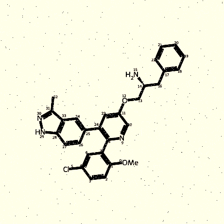 COc1ccc(Cl)cc1-c1ncc(OC[C@@H](N)Cc2ccccc2)cc1-c1ccc2[nH]nc(C)c2c1